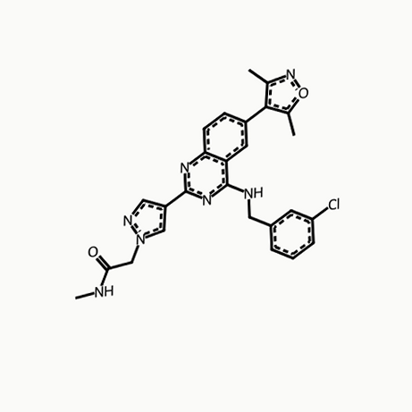 CNC(=O)Cn1cc(-c2nc(NCc3cccc(Cl)c3)c3cc(-c4c(C)noc4C)ccc3n2)cn1